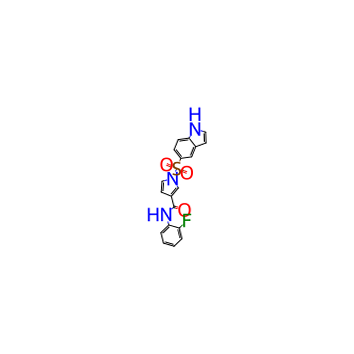 O=C(Nc1ccccc1F)c1ccn(S(=O)(=O)c2ccc3[nH]ccc3c2)c1